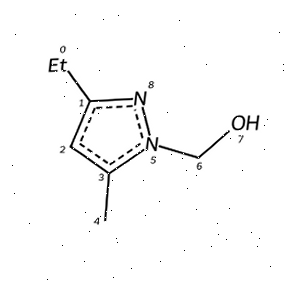 CCc1cc(C)n(CO)n1